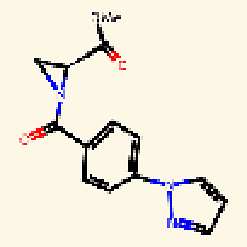 COC(=O)[C@@H]1CN1C(=O)c1ccc(-n2cccn2)cc1